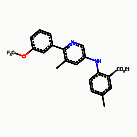 CCOC(=O)c1cc(C)ccc1Nc1cnc(-c2cccc(OC(F)(F)F)c2)c(C)c1